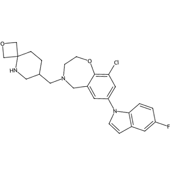 Fc1ccc2c(ccn2-c2cc(Cl)c3c(c2)CN(CC2CCC4(COC4)NC2)CCO3)c1